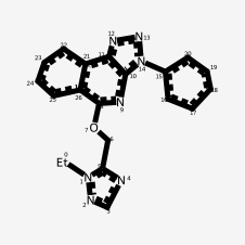 CCn1ncnc1COc1nc2c(nnn2-c2ccccc2)c2ccccc12